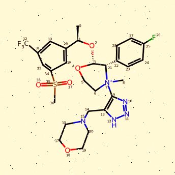 C[C@@H](O[C@H]1OCC[N+](C)(c2nn[nH]c2CN2CCOCC2)[C@H]1c1ccc(F)cc1)c1cc(C(F)(F)F)cc(S(C)(=O)=O)c1